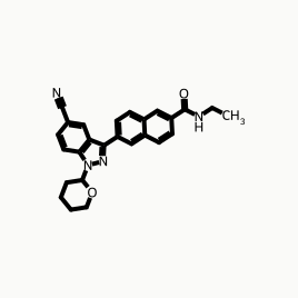 CCNC(=O)c1ccc2cc(-c3nn(C4CCCCO4)c4ccc(C#N)cc34)ccc2c1